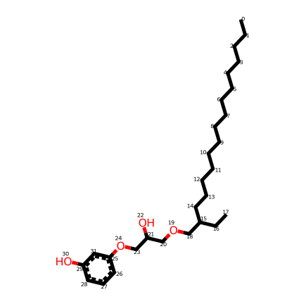 CCCCCCCCCCCCCCCC(CC)COCC(O)COc1cccc(O)c1